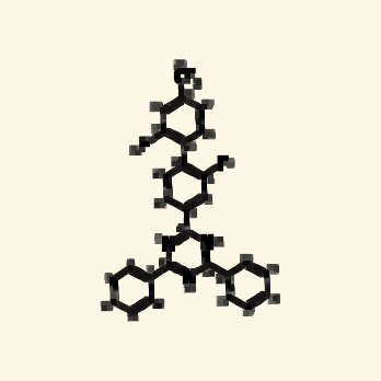 Fc1cc(-c2nc(-c3ccccc3)nc(-c3ccccc3)n2)ccc1-c1ccc(C(F)(F)F)cc1F